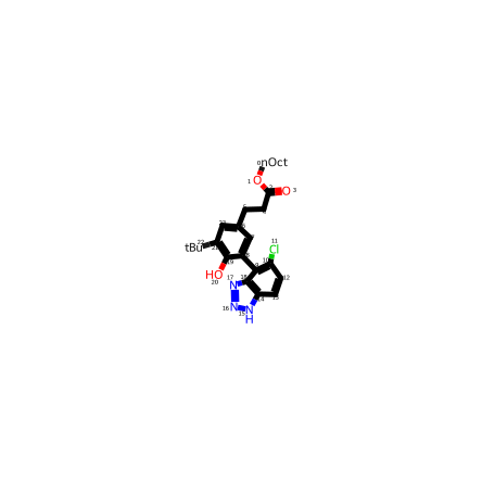 CCCCCCCCOC(=O)CCc1cc(-c2c(Cl)ccc3[nH]nnc23)c(O)c(C(C)(C)C)c1